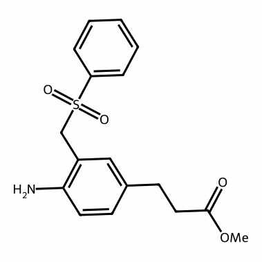 COC(=O)CCc1ccc(N)c(CS(=O)(=O)c2ccccc2)c1